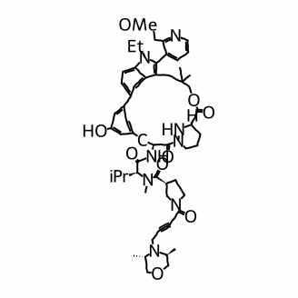 CCn1c(-c2cccnc2COC)c2c3cc(ccc31)-c1cc(O)cc(c1)C[C@H](NC(=O)[C@H](C(C)C)N(C)C(=O)[C@H]1CCN(C(=O)C#CCN3[C@@H](C)COC[C@@H]3C)C1)C(=O)N1CCC[C@H](N1)C(=O)OCC(C)(C)C2